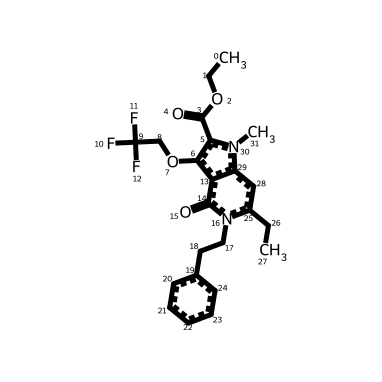 CCOC(=O)c1c(OCC(F)(F)F)c2c(=O)n(CCc3ccccc3)c(CC)cc2n1C